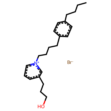 CCCCc1ccc(CCCC[n+]2cccc(CCCO)c2)cc1.[Br-]